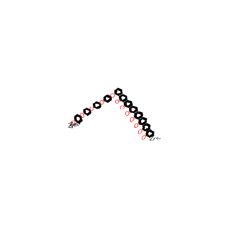 [O-]c1ccccc1.[O-]c1ccccc1.[O-]c1ccccc1.[O-]c1ccccc1.[O-]c1ccccc1.[O-]c1ccccc1.[O-]c1ccccc1.[O-]c1ccccc1.[O-]c1ccccc1.[O-]c1ccccc1.[O-]c1ccccc1.[O-]c1ccccc1.[Zr+4].[Zr+4].[Zr+4]